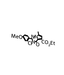 CCOC(=O)c1cc(C)n2nc(-c3ccc(OC)cc3Cl)n(C)c(=O)c12